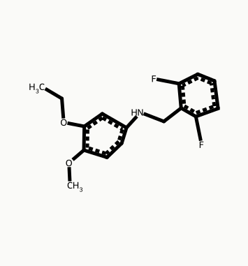 CCOc1cc(NCc2c(F)cccc2F)ccc1OC